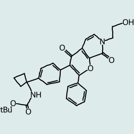 CC(C)(C)OC(=O)NC1(c2ccc(-c3c(-c4ccccc4)oc4c(=O)n(CCO)ccc4c3=O)cc2)CCC1